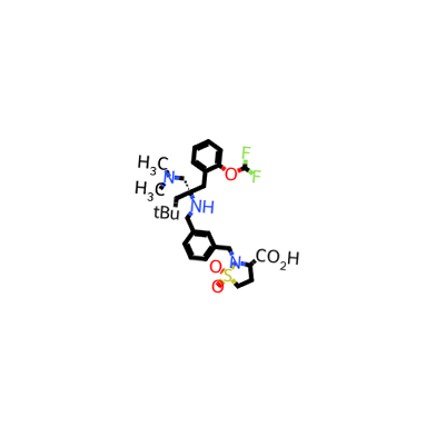 CN(C)C[C@@](Cc1ccccc1OC(F)F)(CC(C)(C)C)NCc1cccc(CN2C(C(=O)O)CCS2(=O)=O)c1